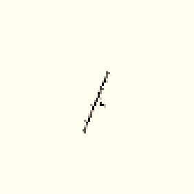 CC(C)=CCC/C(C)=C/C=C/C(C)=C/C=C/C(C)=C/C=C/C=C(C)/C=C/C=C(C)/C=C/C=C(\C)CCC=C(C)C.CC(C)=O